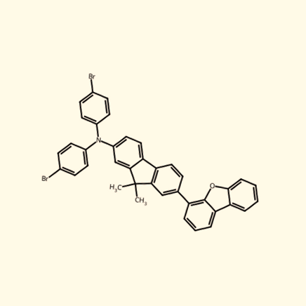 CC1(C)c2cc(-c3cccc4c3oc3ccccc34)ccc2-c2ccc(N(c3ccc(Br)cc3)c3ccc(Br)cc3)cc21